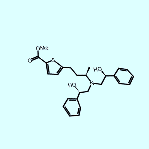 COC(=O)c1ccc(CC[C@@H](C)N(C[C@@H](O)c2ccccc2)C[C@@H](O)c2ccccc2)s1